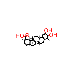 Cc1c(O)c(O)cc2c1CC[C@H]1[C@@]2(C)CC[C@@]2(C)[C@@H]3C[C@](C)(C(=O)O)CC[C@]3(C)CC[C@]12C